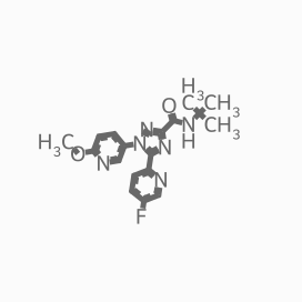 COc1ccc(-n2nc(C(=O)NC(C)(C)C)nc2-c2ccc(F)cn2)cn1